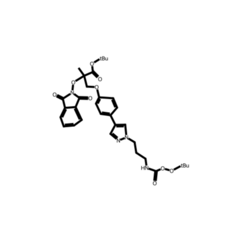 CC(C)(C)OOC(=O)NCCCn1cc(-c2ccc(OCC(C)(ON3C(=O)c4ccccc4C3=O)C(=O)OC(C)(C)C)cc2)cn1